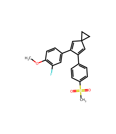 COc1ccc(C2=CC3(C=C2c2ccc(S(C)(=O)=O)cc2)CC3)cc1F